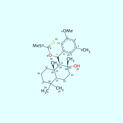 COc1cc(C)cc(C(OC(=S)SC)[C@@H]2[C@@]3(C)CCCC(C)(C)C3CC[C@@]2(C)O)c1